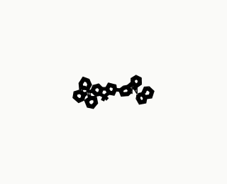 CC1(C)c2cc(-c3ccc4c(c3)c3ccccc3n4-c3cccc4ccccc34)ccc2-c2ccc([Si](c3ccccc3)(c3ccccc3)c3ccccc3)cc21